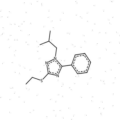 CCSc1nc(-c2ccccc2)n(CC(C)C)n1